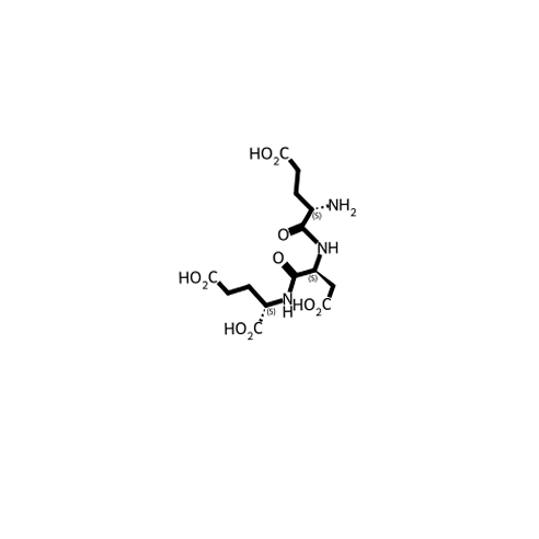 N[C@@H](CCC(=O)O)C(=O)N[C@@H](CC(=O)O)C(=O)N[C@@H](CCC(=O)O)C(=O)O